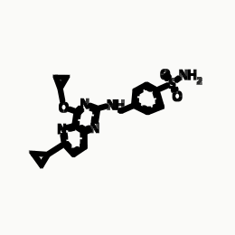 NS(=O)(=O)c1ccc(CNc2nc(OC3CC3)c3nc(C4CC4)ccc3n2)cc1